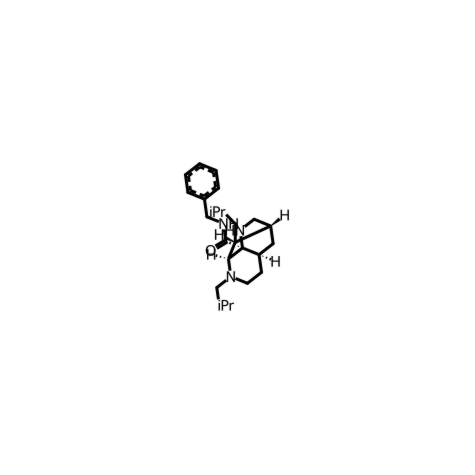 CC(C)C[C@@H]1[C@@H]2CN[C@@]3(C(=O)NCc4ccccc4)[C@H](CCN(CC(C)C)[C@@H]13)C2